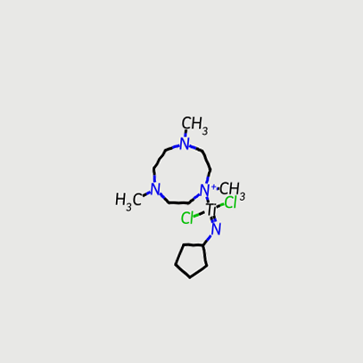 CN1CCN(C)CC[N+](C)([Ti]([Cl])([Cl])=[N]C2CCCC2)CC1